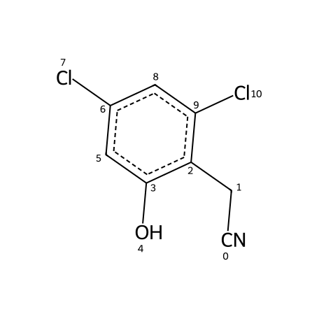 N#CCc1c(O)cc(Cl)cc1Cl